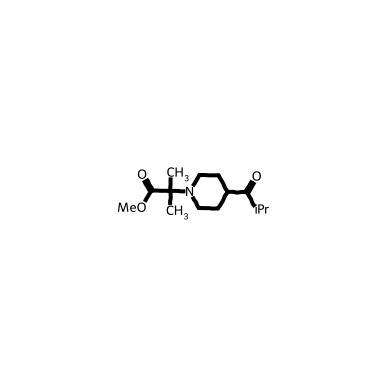 COC(=O)C(C)(C)N1CCC(C(=O)C(C)C)CC1